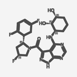 O=C(c1n[nH]c2ncnc(N[C@@H]3CCC[C@@H](O)[C@H]3O)c12)N1C[C@@H](F)C[C@@H]1C1CC(F)=CC=C1F